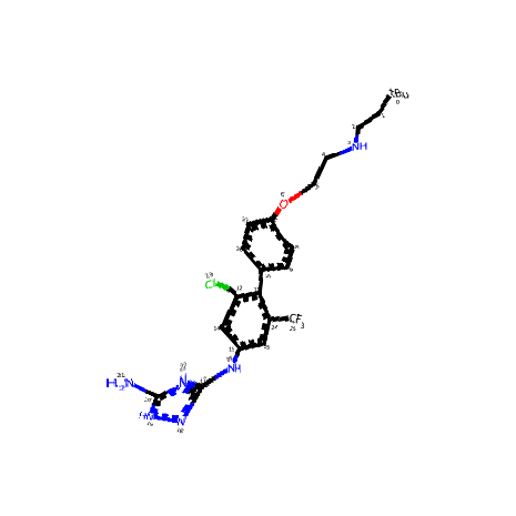 CC(C)(C)CCNCCOc1ccc(-c2c(Cl)cc(Nc3n[nH]c(N)n3)cc2C(F)(F)F)cc1